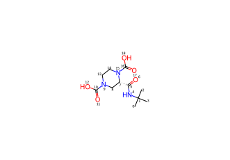 CC(C)(C)NC(=O)[C@@H]1CN(C(=O)O)CCN1C(=O)O